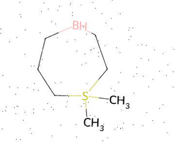 CS1(C)CCBCCC1